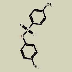 Cc1ccc(S(=O)(=O)Nc2ccc(N)cc2)cc1